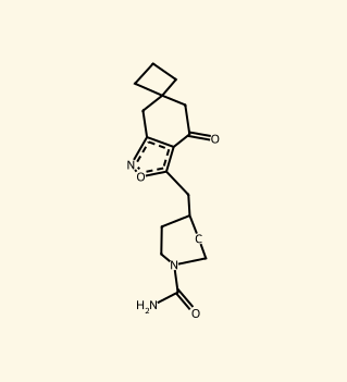 NC(=O)N1CCC(Cc2onc3c2C(=O)CC2(CCC2)C3)CC1